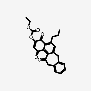 CCCc1cc2c(c3c1C(=O)C(OC(=O)OCC)=CC3=O)C(=O)Cc1ccccc1C2